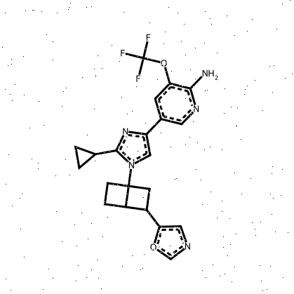 Nc1ncc(-c2cn(C34CCC3C(c3cnco3)C4)c(C3CC3)n2)cc1OC(F)(F)F